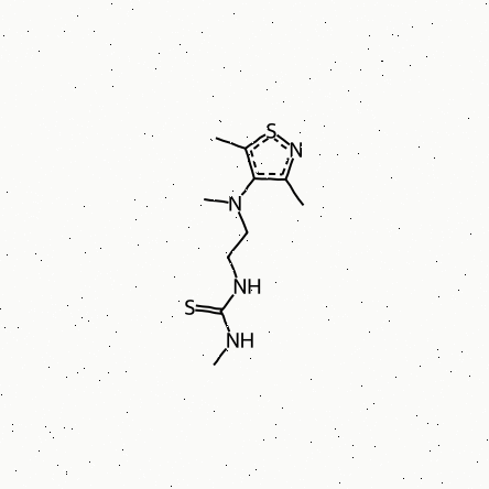 CNC(=S)NCCN(C)c1c(C)nsc1C